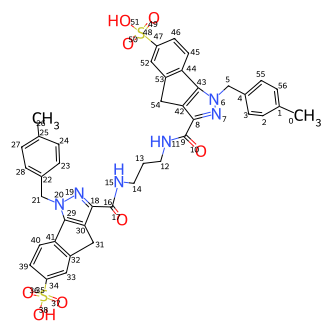 Cc1ccc(Cn2nc(C(=O)NCCCNC(=O)c3nn(Cc4ccc(C)cc4)c4c3Cc3cc(S(=O)(=O)O)ccc3-4)c3c2-c2ccc(S(=O)(=O)O)cc2C3)cc1